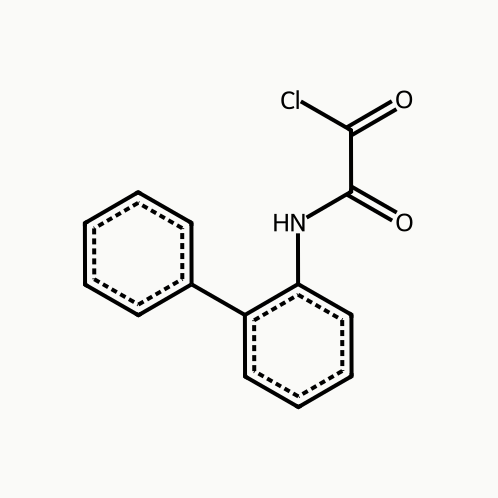 O=C(Cl)C(=O)Nc1ccccc1-c1ccccc1